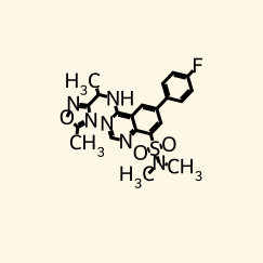 Cc1nc(C(C)Nc2ncnc3c(S(=O)(=O)N(C)C)cc(-c4ccc(F)cc4)cc23)no1